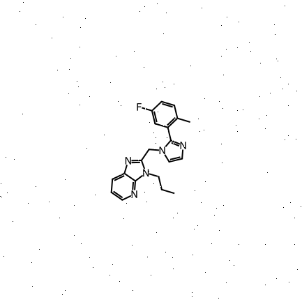 CCCn1c(Cn2ccnc2-c2cc(F)ccc2C)nc2cccnc21